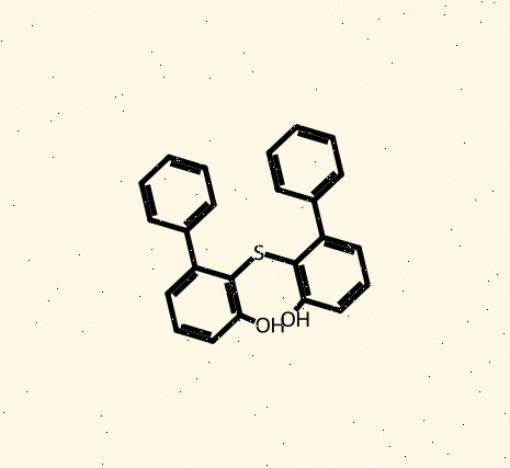 Oc1cccc(-c2ccccc2)c1Sc1c(O)cccc1-c1ccccc1